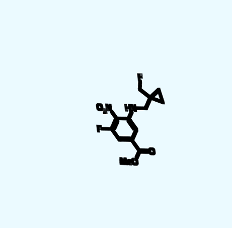 COC(=O)c1cc(F)c([N+](=O)[O-])c(NCC2(CF)CC2)c1